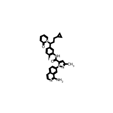 Cc1cc(C(=O)Nc2cc(C(CCC3CC3)n3ccccc3=O)ccc2F)n(-c2ccc3ccnc(N)c3c2)n1